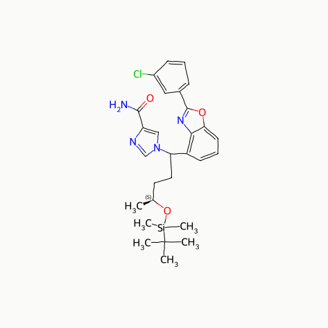 C[C@@H](CCC(c1cccc2oc(-c3cccc(Cl)c3)nc12)n1cnc(C(N)=O)c1)O[Si](C)(C)C(C)(C)C